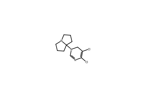 ClC1=C(Cl)N=CN(C23CCCN2CCC3)C1